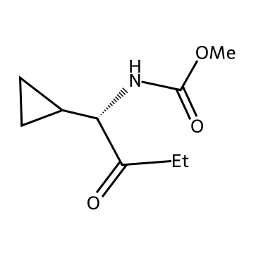 CCC(=O)[C@@H](NC(=O)OC)C1CC1